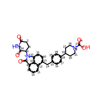 O=C1CCC(N2C(=O)c3cccc4c(Cc5ccc(C6CCN(C(=O)O)CC6)cc5)ccc2c34)C(=O)N1